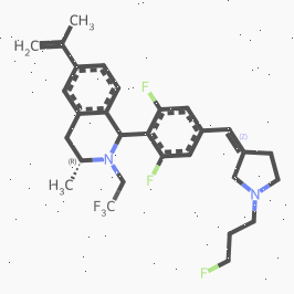 C=C(C)c1ccc2c(c1)C[C@@H](C)N(CC(F)(F)F)C2c1c(F)cc(/C=C2/CCN(CCCF)C2)cc1F